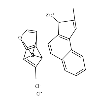 CC1=C2c3occc3C1[Si]2(C)C.CC1=Cc2c(ccc3ccccc23)[CH]1[Zr+2].[Cl-].[Cl-]